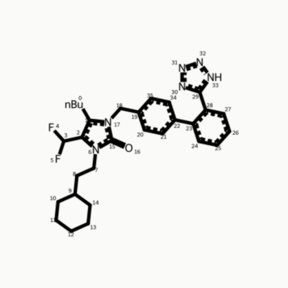 CCCCc1c(C(F)F)n(CCC2CCCCC2)c(=O)n1Cc1ccc(-c2ccccc2-c2nnn[nH]2)cc1